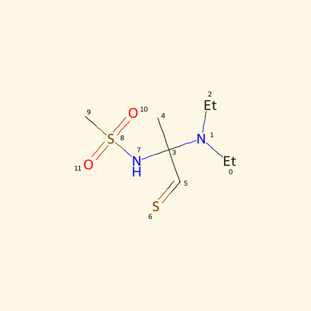 CCN(CC)C(C)(C=S)NS(C)(=O)=O